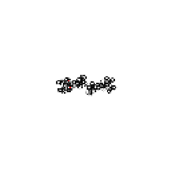 C=CC(=O)Oc1ccc(C(C)(C)c2ccc(OC(=O)C=C)c(N3C(=O)c4ccc5c6c(ccc(c46)C3=O)C(=O)N(c3cc(-n4c6ccccc6c6ccccc64)cc(-n4c6ccccc6c6ccccc64)c3)C5=O)c2)cc1N1C(=O)c2ccc3c4c(ccc(c24)C1=O)C(=O)N(c1cc(-n2c(-c4ccccc4)cc4ccccc42)cc(-n2c(-c4ccccc4)nc4ccccc42)c1)C3=O